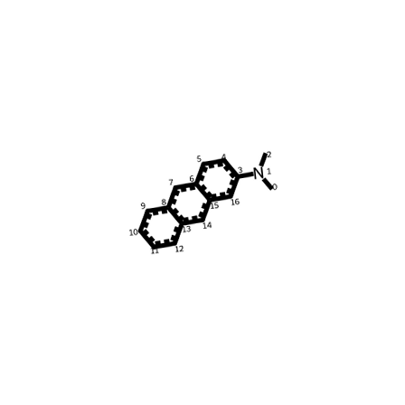 CN(C)c1ccc2cc3ccccc3cc2c1